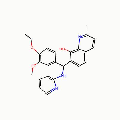 CCOc1ccc(C(Nc2ccccn2)c2ccc3ccc(C)nc3c2O)cc1OC